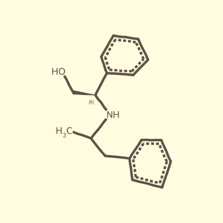 CC(Cc1ccccc1)N[C@@H](CO)c1ccccc1